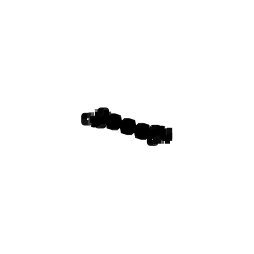 CC(C)[C@](C)(Cl)OC(=O)c1ccc(-c2ccc(-c3ccc(C(=O)O[C@@](C)(Cl)C(C)C)cc3)cc2)cc1